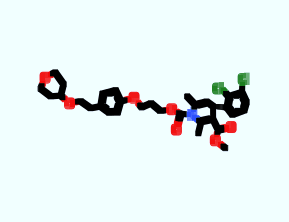 COC(=O)C1=C(C)N(C(=O)OCCCOc2ccc(CCOC3CCOCC3)cc2)C(C)=C[C@H]1c1cccc(Cl)c1Cl